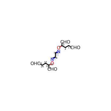 O=CCCC(C=O)O/N=C/C=N/OC(C=O)CCC=O